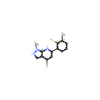 Cn1ncc2c(Cl)cc(-c3cccc(C#N)c3F)nc21